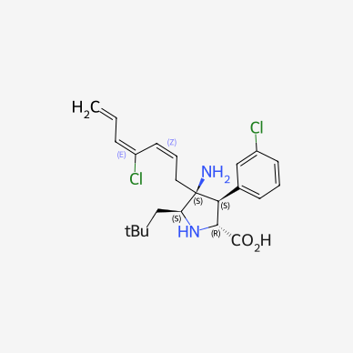 C=C/C=C(Cl)\C=C/C[C@@]1(N)[C@H](CC(C)(C)C)N[C@@H](C(=O)O)[C@@H]1c1cccc(Cl)c1